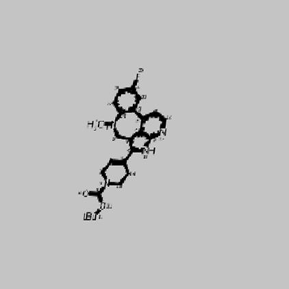 CN1Cc2c(C3=CCN(C(=O)OC(C)(C)C)CC3)[nH]c3nccc(c23)-c2cc(F)ccc21